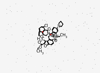 CCOC(=O)c1oc2ccc(S(=O)(=O)N(CC)c3cc(N4CCCC4)ccc3CN(Cc3ccco3)C(=O)c3ccccc3Cl)c(CC)c2c1C